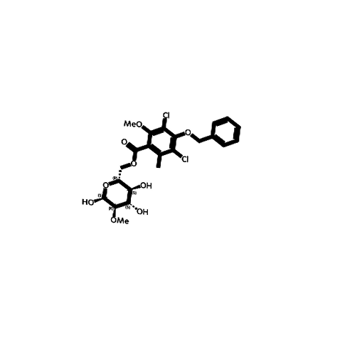 COc1c(Cl)c(OCc2ccccc2)c(Cl)c(C)c1C(=O)OC[C@H]1O[C@H](O)[C@H](OC)[C@@H](O)[C@@H]1O